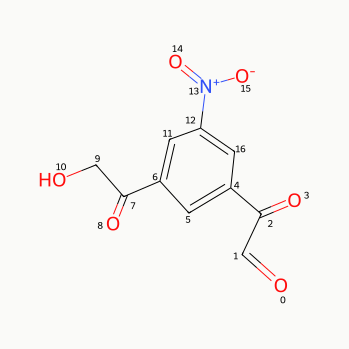 O=CC(=O)c1cc(C(=O)CO)cc([N+](=O)[O-])c1